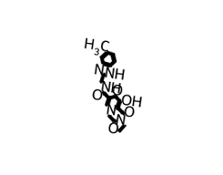 Cc1ccc2[nH]c(CNC(=O)c3cn4c(c(O)c3=O)C(=O)N3CCOC3C4)nc2c1